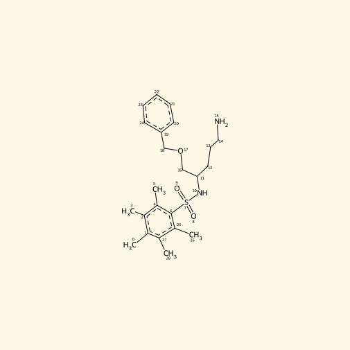 Cc1c(C)c(C)c(S(=O)(=O)NC(CCCN)COCc2ccccc2)c(C)c1C